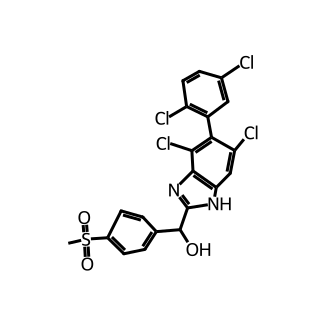 CS(=O)(=O)c1ccc(C(O)c2nc3c(Cl)c(-c4cc(Cl)ccc4Cl)c(Cl)cc3[nH]2)cc1